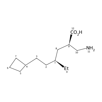 CC[C@@H](CCC1CCC1)C[C@H](CN)C(=O)O